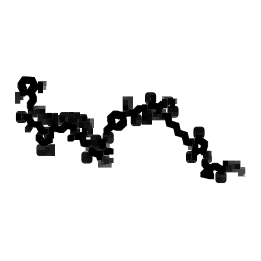 CC[C@H](C)C([C@@H](CC(=O)N1C[C@@H](O)C[C@H]1[C@H](OC)[C@@H](C)C(=O)NCCc1c(F)cccc1F)OC)N(C)C(=O)CNC(=O)C(C(C)C)N(C)C(=O)OCc1ccc(NC(=O)CNC(=O)C(NC(=O)CCCCCN2C(=O)CC(SCC3(CC(N)=O)CC3)C2=O)C(C)C)cc1